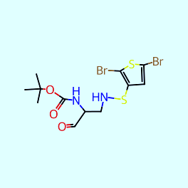 CC(C)(C)OC(=O)NC(C=O)CNSc1cc(Br)sc1Br